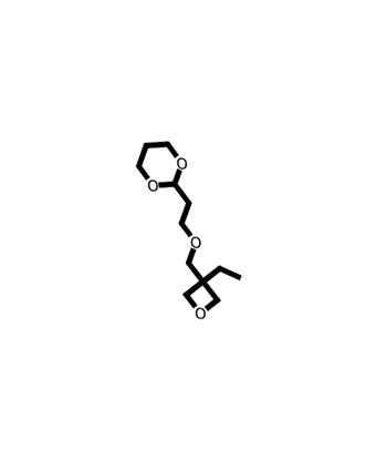 CCC1(COCCC2OCCCO2)COC1